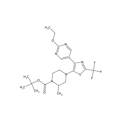 CCOc1ncc(-c2nc(C(F)(F)F)sc2N2CCN(C(=O)OC(C)(C)C)C(C)C2)cn1